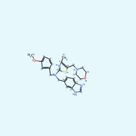 COc1cccc(CN(Cc2ccc3nc[nH]c3c2)c2nc(C)c(CN3CCOCC3)s2)c1